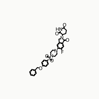 O=C1CCC(N2Cc3cc(N4CCN(S(=O)(=O)c5ccc(OCc6ccccc6)cc5)CC4)c(F)cc3C2=O)C(=O)N1